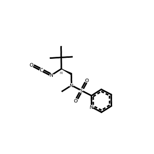 CN(C[C@@H](N=C=O)C(C)(C)C)S(=O)(=O)c1ccccn1